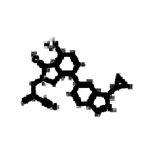 C=C(C#N)CN1Cc2c(-c3ccc4cnn(C5CC5)c4c3)ccc(N)c2C1=O